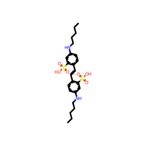 CCCCCNc1ccc(/C=C/c2ccc(NCCCCC)cc2S(=O)(=O)O)c(S(=O)(=O)O)c1